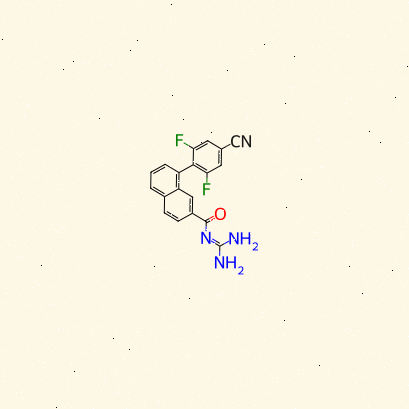 N#Cc1cc(F)c(-c2cccc3ccc(C(=O)N=C(N)N)cc23)c(F)c1